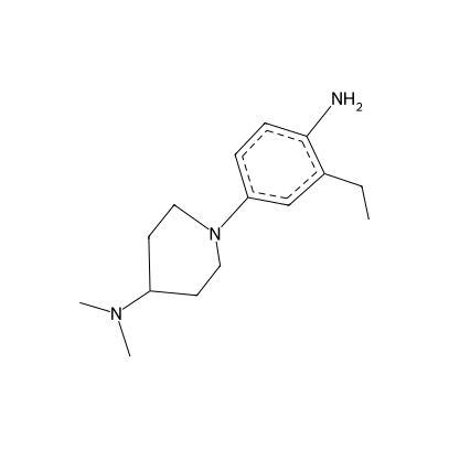 CCc1cc(N2CCC(N(C)C)CC2)ccc1N